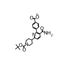 COC(=O)c1ccc(-c2nc(C3CCN(C(=O)OC(C)(C)C)CC3)ccc2C(N)=O)cc1